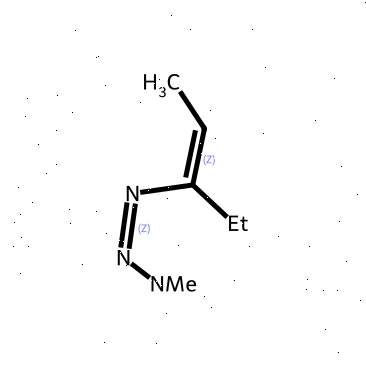 C/C=C(CC)\N=N/NC